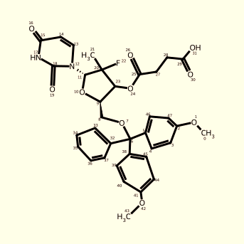 COc1ccc(C(OC[C@H]2O[C@H](n3ccc(=O)[nH]c3=O)C(C)(F)C2OC(=O)CCC(=O)O)(c2ccccc2)c2ccc(OC)cc2)cc1